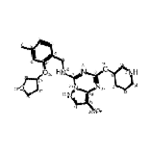 Cc1ccc(CNc2nc(OC3CCCNC3)nc3c(C(C)C)cnn23)c(OC2CCOC2)c1